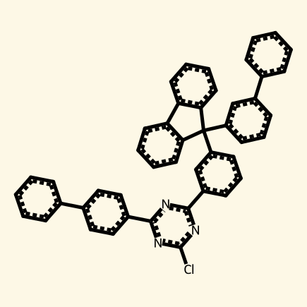 Clc1nc(-c2ccc(-c3ccccc3)cc2)nc(-c2cccc(C3(c4cccc(-c5ccccc5)c4)c4ccccc4-c4ccccc43)c2)n1